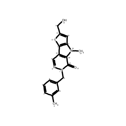 Cc1cccc(Cn2ncc3c4sc(CO)cc4n(C)c3c2=O)c1